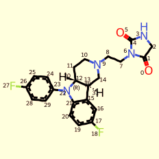 O=C1CNC(=O)N1CCN1CC[C@@H]2[C@@H](C1)c1cc(F)ccc1N2c1ccc(F)cc1